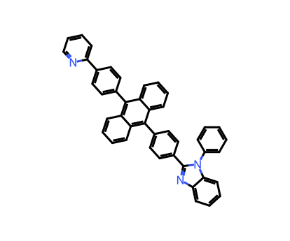 c1ccc(-n2c(-c3ccc(-c4c5ccccc5c(-c5ccc(-c6ccccn6)cc5)c5ccccc45)cc3)nc3ccccc32)cc1